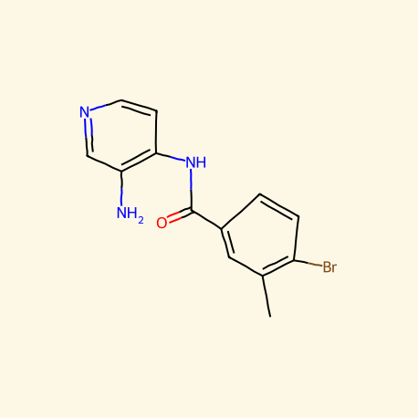 Cc1cc(C(=O)Nc2ccncc2N)ccc1Br